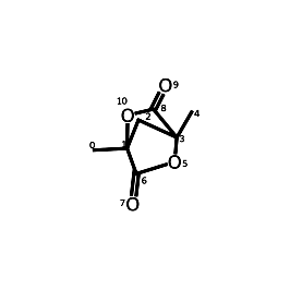 CC12CC(C)(OC1=O)C(=O)O2